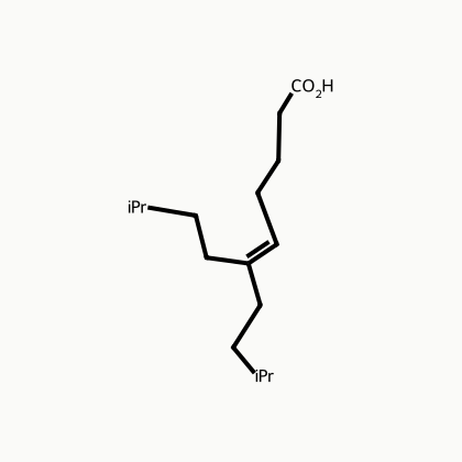 CC(C)CCC(=CCCCC(=O)O)CCC(C)C